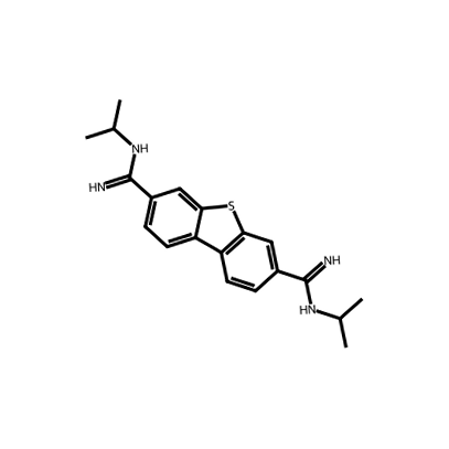 CC(C)NC(=N)c1ccc2c(c1)sc1cc(C(=N)NC(C)C)ccc12